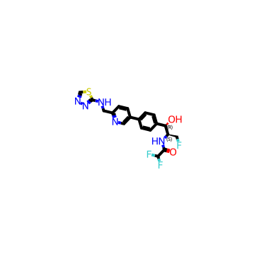 O=C(N[C@H](CF)[C@H](O)c1ccc(-c2ccc(CNc3nncs3)nc2)cc1)C(F)F